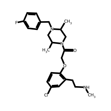 CNCCc1cc(Cl)ccc1OCC(=O)N1CC(C)N(Cc2ccc(F)cc2)CC1C